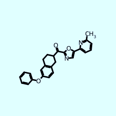 Cc1cccc(-c2cnc(C(=O)C3CCc4cc(Oc5ccccc5)ccc4C3)o2)n1